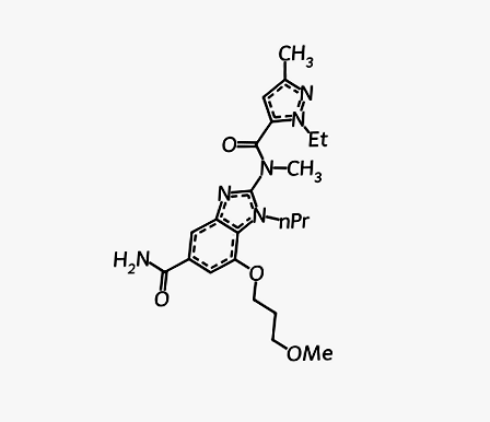 CCCn1c(N(C)C(=O)c2cc(C)nn2CC)nc2cc(C(N)=O)cc(OCCCOC)c21